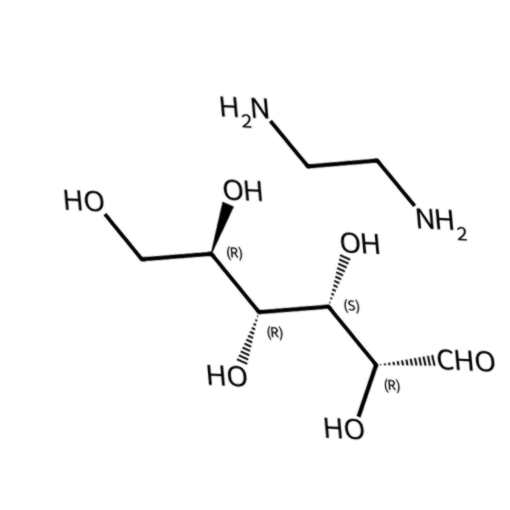 NCCN.O=C[C@H](O)[C@@H](O)[C@H](O)[C@H](O)CO